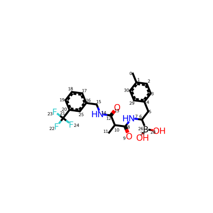 Cc1ccc(CC(NC(=O)C(C)C(=O)NCc2cccc(C(F)(F)F)c2)B(O)O)cc1